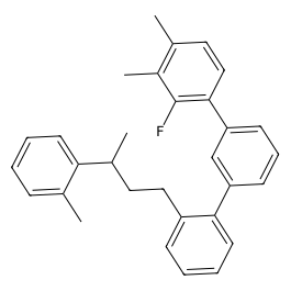 Cc1ccccc1C(C)CCc1ccccc1-c1cccc(-c2ccc(C)c(C)c2F)c1